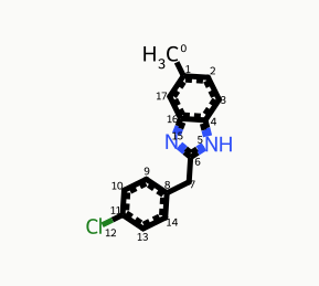 Cc1ccc2[nH]c(Cc3ccc(Cl)cc3)nc2c1